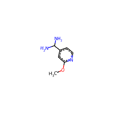 COc1cc(C(N)N)ccn1